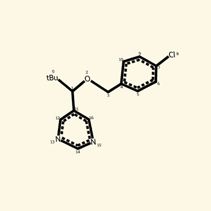 CC(C)(C)C(OCc1ccc(Cl)cc1)c1cncnc1